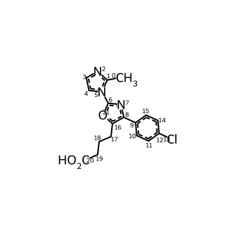 Cc1nccn1-c1nc(-c2ccc(Cl)cc2)c(CCCC(=O)O)o1